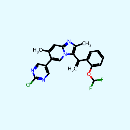 C=C(c1ccccc1OC(F)F)c1c(C)nc2cc(C)c(-c3cnc(Cl)nc3)cn12